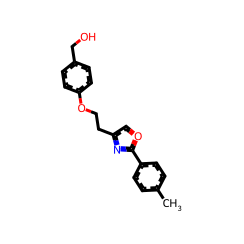 Cc1ccc(-c2nc(CCOc3ccc(CO)cc3)co2)cc1